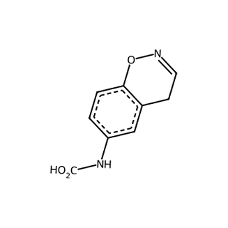 O=C(O)Nc1ccc2c(c1)CC=NO2